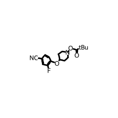 CC(C)(C)C(=O)ON1CCC(Oc2ccc(C#N)cc2F)CC1